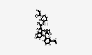 C=CC(=O)N1CCC[C@@H](NC(=O)c2sc3nccc4c3c2NC(=O)N4c2cccc(C3CC3)c2)C1